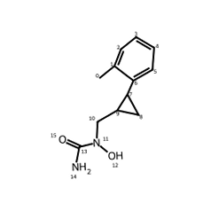 Cc1ccccc1C1CC1CN(O)C(N)=O